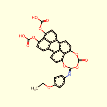 CCOc1ccc(N=C2OC(=O)Oc3ccc4c5ccc(OC(=O)O)c6c(OC(=O)O)ccc(c7ccc(c3c47)O2)c65)cc1